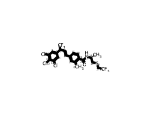 Cc1cc(/C=C/C(c2cc(Cl)c(Cl)c(Cl)c2)C(F)(F)F)ccc1C(=O)N[C@H](C)CSCC(F)(F)F